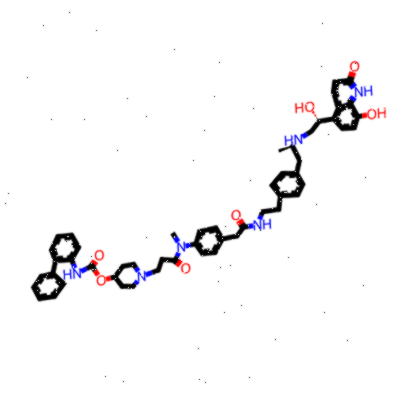 C[C@H](Cc1ccc(CCNC(=O)Cc2ccc(N(C)C(=O)CCN3CCC(OC(=O)Nc4ccccc4-c4ccccc4)CC3)cc2)cc1)NC[C@H](O)c1ccc(O)c2[nH]c(=O)ccc12